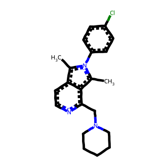 Cc1c2ccnc(CN3CCCCC3)c2c(C)n1-c1ccc(Cl)cc1